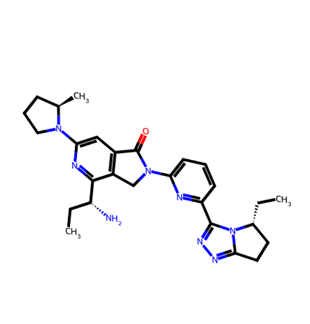 CC[C@@H]1CCc2nnc(-c3cccc(N4Cc5c(cc(N6CCC[C@H]6C)nc5[C@H](N)CC)C4=O)n3)n21